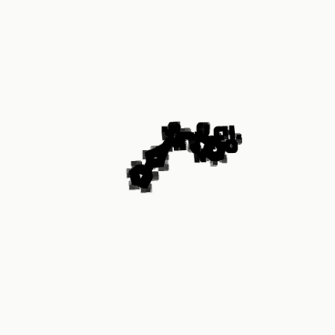 Cn1c(=O)ccc2ncn(Cc3nc(C4C5C=C(c6ccccc6)CC54)no3)c(=O)c21